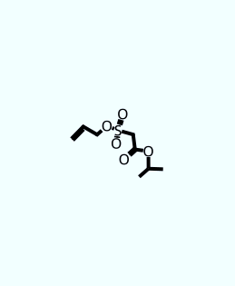 C=CCOS(=O)(=O)CC(=O)OC(C)C